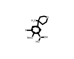 COc1c(F)cc(C2(C)CCOCC2)cc1B(O)O